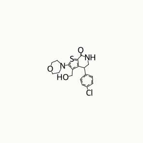 O=C1NCC(c2ccc(Cl)cc2)c2c1sc(N1CCOCC1)c2CO